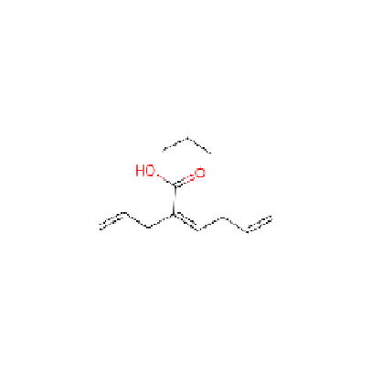 C=CCC=C(CC=C)C(=O)O.CCC